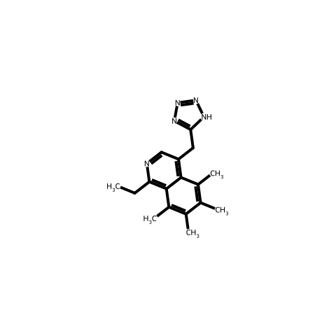 CCc1ncc(Cc2nnn[nH]2)c2c(C)c(C)c(C)c(C)c12